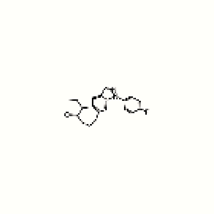 CCC1C(=O)CCCc2cc3c(cnn3-c3ccc(F)cc3)cc21